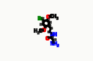 COc1cc(CCNC(=O)CN)c(OC)cc1Br